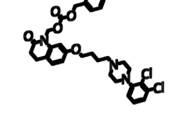 O=C(OCc1ccccc1)OCN1C(=O)CCc2ccc(OCCCCN3CCN(c4cccc(Cl)c4Cl)CC3)cc21